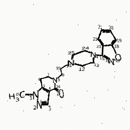 Cn1ncc2c1CCN(CCN1CCN(c3noc4ccccc34)CC1)C2=O